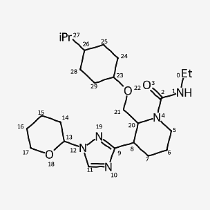 CCNC(=O)N1CCCC(c2ncn(C3CCCCO3)n2)C1COC1CCC(C(C)C)CC1